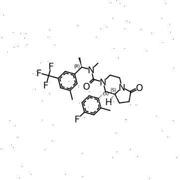 Cc1cc([C@@H](C)N(C)C(=O)N2CCN3C(=O)CC[C@H]3[C@@H]2c2ccc(F)cc2C)cc(C(F)(F)F)c1